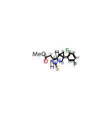 COC(=O)Cc1[nH]c(=S)n2c1[C@@H]1C[C@]1(c1cc(F)ccc1F)C2